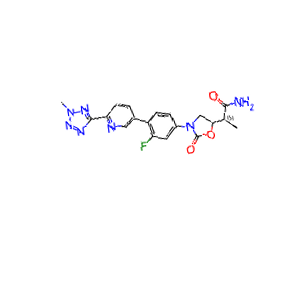 C[C@H](C(N)=O)C1CN(c2ccc(-c3ccc(-c4nnn(C)n4)nc3)c(F)c2)C(=O)O1